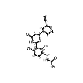 C#Cc1cncc(-c2cc(=O)[nH]c(-c3c(Cl)ccc(CNC(=O)C(C)C)c3F)n2)c1